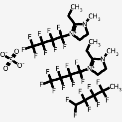 CC(F)(F)C(F)(F)C(F)(F)C(F)F.CCC1=[N+](C(F)(F)C(F)(F)C(F)(F)C(F)(F)F)CCN1C.CCC1=[N+](C(F)(F)C(F)(F)C(F)(F)C(F)(F)F)CCN1C.O=S(=O)([O-])[O-]